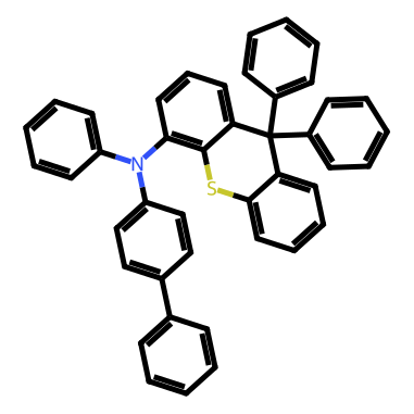 c1ccc(-c2ccc(N(c3ccccc3)c3cccc4c3Sc3ccccc3C4(c3ccccc3)c3ccccc3)cc2)cc1